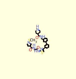 CSn1ccc(C(=O)NCC(=O)Nc2nc(-c3cccc(-c4cccc(CNC(=O)C5CCNCC5)c4)c3)cs2)c1